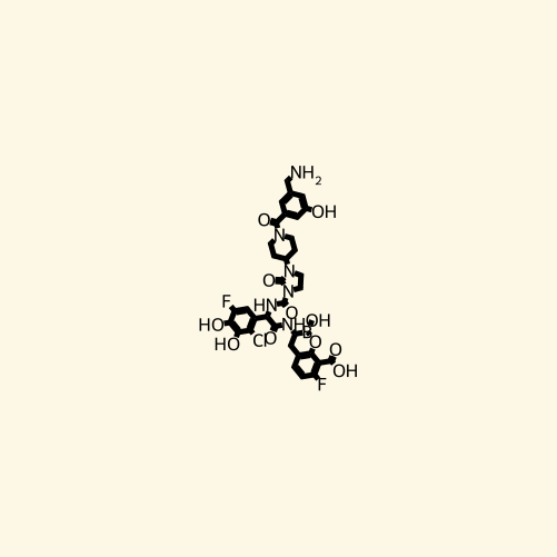 NCc1cc(O)cc(C(=O)N2CCC(N3CCN(C(=O)NC(C(=O)NC4Cc5ccc(F)c(C(=O)O)c5OB4O)c4cc(F)c(O)c(O)c4Cl)C3=O)CC2)c1